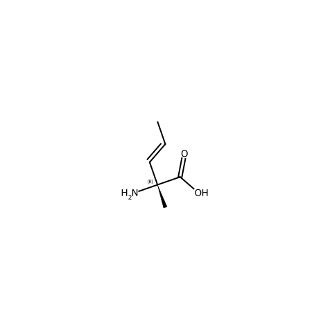 CC=C[C@@](C)(N)C(=O)O